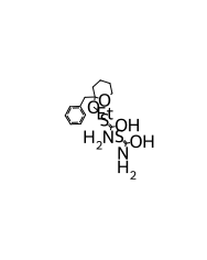 CCOC1(Cc2ccccc2)CCCCO1.NC(O)=S.NC(O)=S